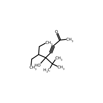 CCC(CC)C(O)(C#CC(C)=O)C(C)(C)C